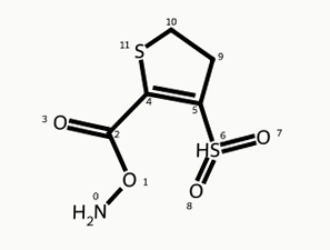 NOC(=O)C1=C([SH](=O)=O)CCS1